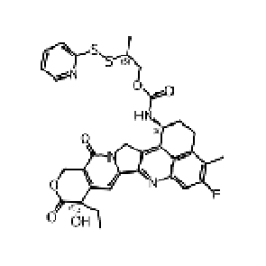 CC[C@@]1(O)C(=O)OCc2c1cc1n(c2=O)Cc2c-1nc1cc(F)c(C)c3c1c2[C@@H](NC(=O)OC[C@H](C)SSc1ccccn1)CC3